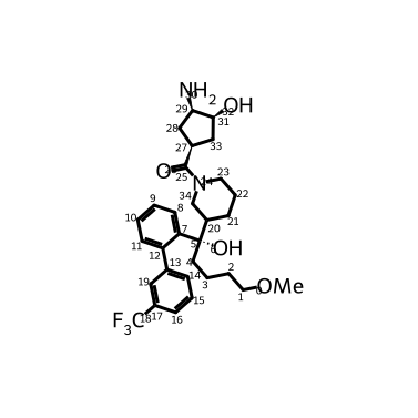 COCCCC[C@@](O)(c1ccccc1-c1cccc(C(F)(F)F)c1)C1CCCN(C(=O)[C@H]2C[C@@H](N)[C@@H](O)C2)C1